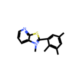 Cc1cc(C)c(C)c(-c2sc3ncccc3[n+]2C)c1